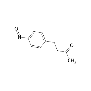 CC(=O)CCc1ccc(N=O)cc1